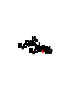 CC(C)=CCCC(C)=CCCC(C)=CC(CCI)O[Si](C)(C)C(C)(C)C